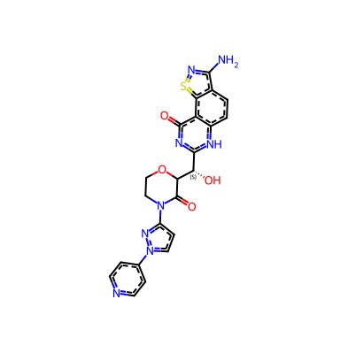 Nc1nsc2c1ccc1[nH]c([C@H](O)C3OCCN(c4ccn(-c5ccncc5)n4)C3=O)nc(=O)c12